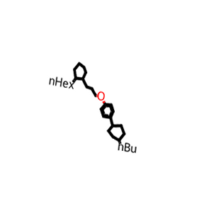 CCCCCCC1CCCCC1CCCOc1ccc(C2CCC(CCCC)CC2)cc1